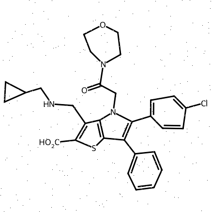 O=C(O)c1sc2c(-c3ccccc3)c(-c3ccc(Cl)cc3)n(CC(=O)N3CCOCC3)c2c1CNCC1CC1